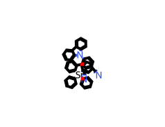 N#Cc1ccc(-n2c3ccccc3c3ccccc32)c(-c2ccccc2[Si](c2ccccc2)(c2ccccc2)c2ccccc2)c1C#N